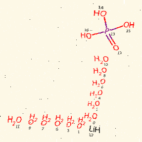 O.O.O.O.O.O.O.O.O.O.O.O.O=P(O)(O)O.[LiH]